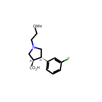 COCCN1C[C@H](C(=O)O)[C@@H](c2cccc(F)c2)C1